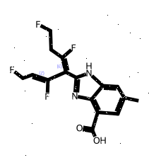 Cc1cc(C(=O)O)c2nc(C(/C(F)=C/CF)=C(\F)CCF)[nH]c2c1